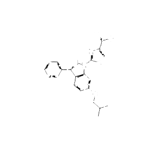 CC(C)COc1ccc2c(-c3ccccc3)nn(-c3nc(C(=O)O)cs3)c2c1